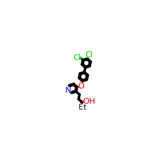 CCC(O)CCc1cnccc1Oc1ccc(-c2ccc(Cl)c(Cl)c2)cc1